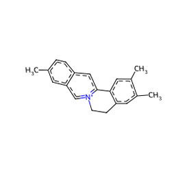 Cc1ccc2cc3[n+](cc2c1)CCc1cc(C)c(C)cc1-3